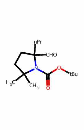 CCCC1(C=O)CCC(C)(C)N1C(=O)OC(C)(C)C